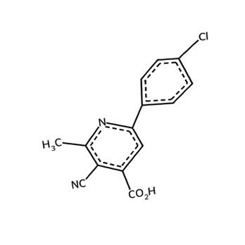 Cc1nc(-c2ccc(Cl)cc2)cc(C(=O)O)c1C#N